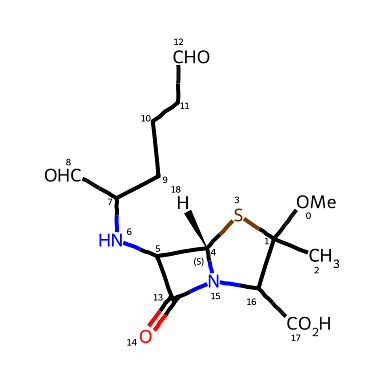 COC1(C)S[C@H]2C(NC(C=O)CCCC=O)C(=O)N2C1C(=O)O